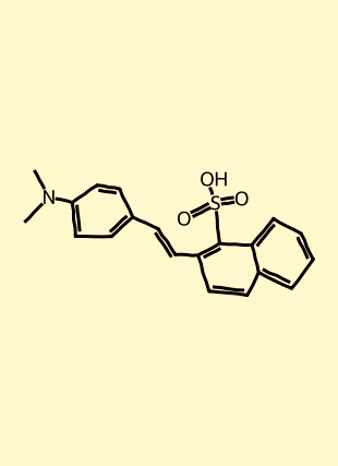 CN(C)c1ccc(C=Cc2ccc3ccccc3c2S(=O)(=O)O)cc1